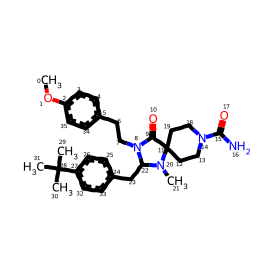 COc1ccc(CCN2C(=O)C3(CCN(C(N)=O)CC3)N(C)C2Cc2ccc(C(C)(C)C)cc2)cc1